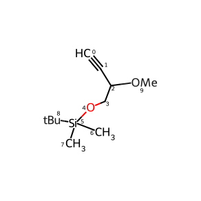 C#CC(CO[Si](C)(C)C(C)(C)C)OC